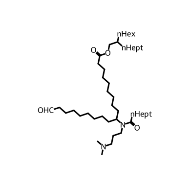 CCCCCCCC(=O)N(CCCN(C)C)C(CCCCCCCCC=O)CCCCCCCCC(=O)OCC(CCCCCC)CCCCCCC